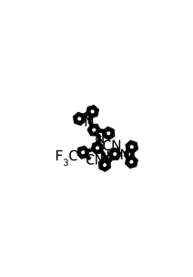 N#Cc1cc(C(F)(F)F)ccc1-c1cc(-n2c3ccccc3c3cc(-n4c5ccccc5c5ccccc54)ccc32)c(C#N)c(-n2c3ccccc3c3cc(-n4c5ccccc5c5ccccc54)ccc32)c1